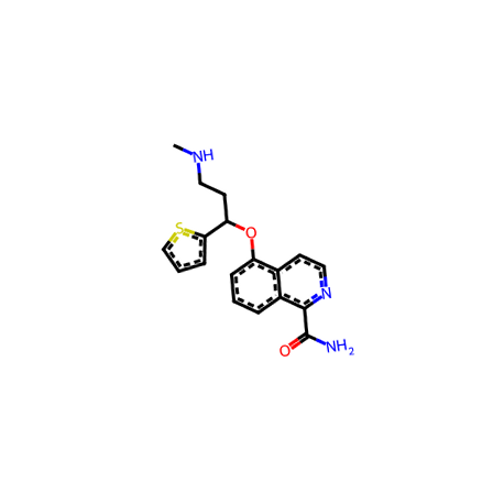 CNCCC(Oc1cccc2c(C(N)=O)nccc12)c1cccs1